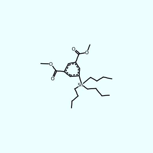 CCC[CH2][Sn]([CH2]CCC)([CH2]CCC)[c]1cc(C(=O)OC)cc(C(=O)OC)c1